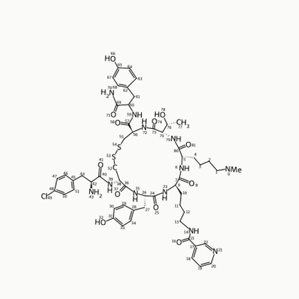 CNCCCC[C@@H]1NC(=O)[C@@H](CCCCNC(=O)c2cccnc2)NC(=O)[C@H](Cc2ccc(O)cc2)NC(=O)[C@H](NC(=O)[C@@H](N)Cc2ccc(Cl)cc2)CSSC[C@@H](C(=O)NC(Cc2ccc(O)cc2)C(N)=O)NC(=O)[C@H]([C@@H](C)O)NC1=O